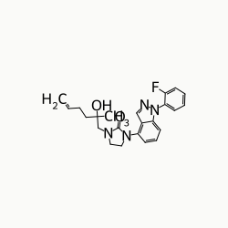 C=CCCC(C)(O)CN1CCN(c2cccc3c2cnn3-c2ccccc2F)C1=O